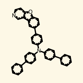 c1ccc(-c2ccc(N(c3ccc(-c4ccccc4)cc3)c3ccc(-c4ccc5oc6ccncc6c5c4)cc3)cc2)cc1